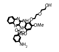 COc1cc(Nc2nc3ccccc3nc2NS(=O)(=O)c2cccc(N)c2)c(OCCOCCO)c(OC)c1